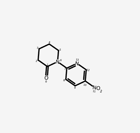 O=C1CCCCN1c1ccc([N+](=O)[O-])cn1